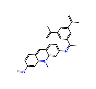 C=Nc1ccc2cc3ccc(/N=C(/C)c4cc(C(=C)C)cc(C(=C)C)c4)cc3[n+](C)c2c1